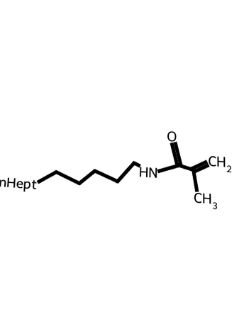 C=C(C)C(=O)NCCCCCCCCCCCC